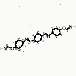 N=COc1ccc(N=Cc2ccc(C=Nc3ccc(OC=N)cc3)cc2)cc1